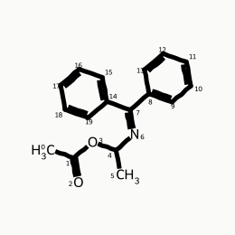 CC(=O)OC(C)N=C(c1ccccc1)c1ccccc1